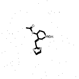 CC(=O)SC1CCNC/C1=C\c1nccs1.Cl